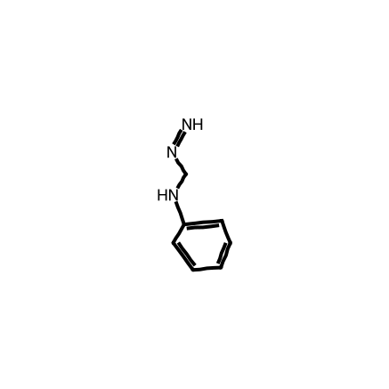 N=NCNc1ccccc1